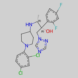 C[C@@H](NC1CCN(c2ccc(Cl)cc2Cl)CC1)[C@](O)(Cn1cncn1)c1ccc(F)cc1F